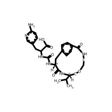 CC(C)[C@H]1COCCNC(=O)c2ccc(cc2)C[C@@H](NC(=O)NC(Cc2ccc(N)nc2)C(=O)O)C(=O)N1